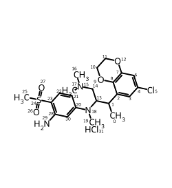 CC(c1cc(Cl)cc2c1OCCO2)C(CN(C)C)N(C)c1ccc(S(C)(=O)=O)c(N)c1.Cl